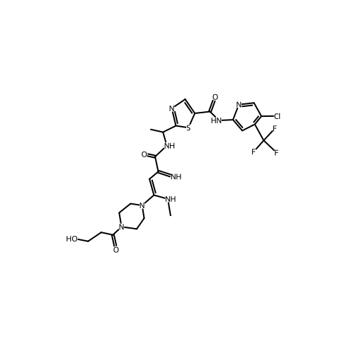 CN/C(=C\C(=N)C(=O)NC(C)c1ncc(C(=O)Nc2cc(C(F)(F)F)c(Cl)cn2)s1)N1CCN(C(=O)CCO)CC1